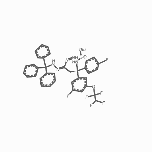 CC(C)(C)[S+]([O-])N[C@](C/C(N=N)=N/NC(c1ccccc1)(c1ccccc1)c1ccccc1)(c1ccc(F)cc1)c1cc(F)cc(OC(F)(F)C(F)F)c1